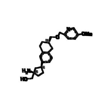 COc1ccc(COC[C@@H]2CCc3cc([C@H]4CC[C@](N)(CO)C4)ccc3C2)nc1